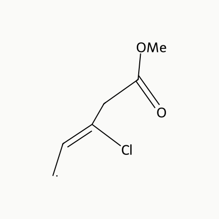 [CH2]/C=C(\Cl)CC(=O)OC